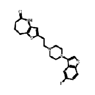 O=C1CCCc2sc(CCN3CCN(c4csc5ccc(F)cc45)CC3)cc2N1